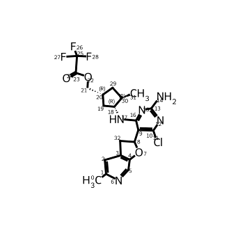 Cc1cc2c(cn1)OC(c1c(Cl)nc(N)nc1N[C@@H]1C[C@H](COC(=O)C(F)(F)F)C[C@H]1C)C2